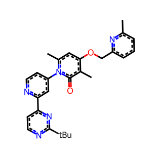 Cc1cccc(COc2cc(C)n(-c3ccnc(-c4ccnc(C(C)(C)C)n4)c3)c(=O)c2C)n1